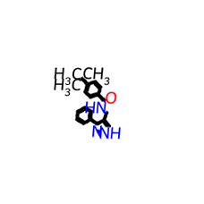 CC(C)(C)c1ccc(C(=O)NCc2c[nH]nc2-c2ccccc2)cc1